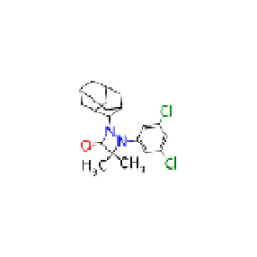 CC1(C)C(=O)N(C2C3CC4CC(C3)CC2C4)N1c1cc(Cl)cc(Cl)c1